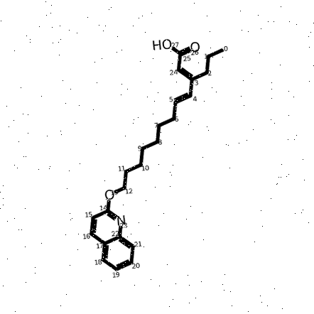 CCCC(C=CCCCCCCCOc1ccc2ccccc2n1)=CC(=O)O